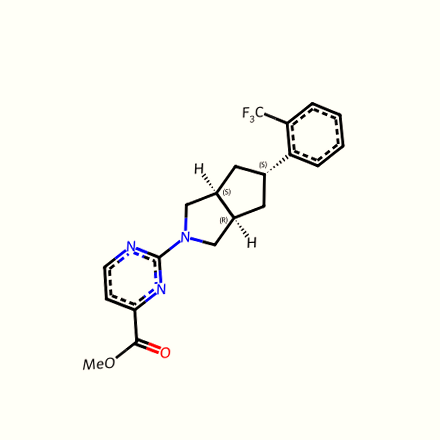 COC(=O)c1ccnc(N2C[C@H]3C[C@H](c4ccccc4C(F)(F)F)C[C@H]3C2)n1